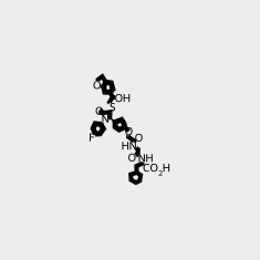 O=C(COc1ccc([C@@H]2[C@@H](SCC(O)c3ccc4c(c3)OCC4)C(=O)N2c2ccc(F)cc2)cc1)NCC(=O)N[C@H](CC1CCCCC1)C(=O)O